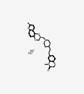 Cc1ccc2c3c(ccc2n1)OC[C@H](CN1CCC(CCc2ccc4c(c2)N(C)C(=O)CO4)CC1)O3.Cl.Cl